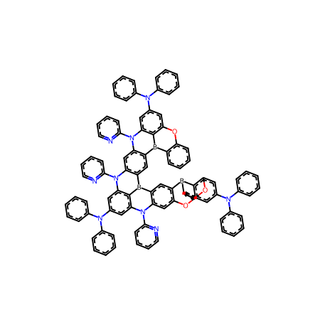 c1ccc(N(c2ccccc2)c2cc3c4c(c2)Oc2cc5c(cc2B4c2ccccc2O3)B2c3cc4c(cc3N(c3ccccn3)c3cc(N(c6ccccc6)c6ccccc6)cc(c32)N5c2ccccn2)N(c2ccccn2)c2cc(N(c3ccccc3)c3ccccc3)cc3c2B4c2ccccc2O3)cc1